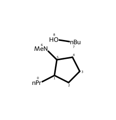 CCCC1CCCC1NC.CCCCO